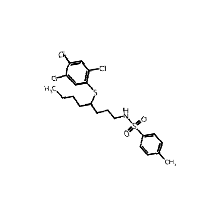 CCCCC(CCCNS(=O)(=O)c1ccc(C)cc1)Sc1cc(Cl)c(Cl)cc1Cl